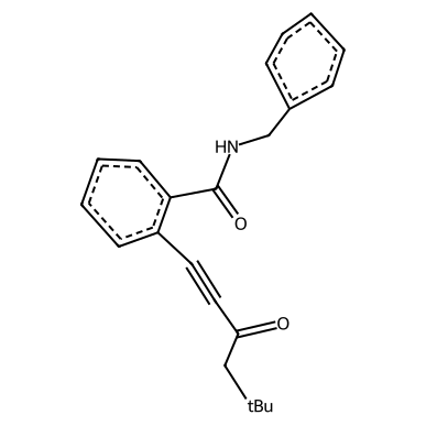 CC(C)(C)CC(=O)C#Cc1ccccc1C(=O)NCc1ccccc1